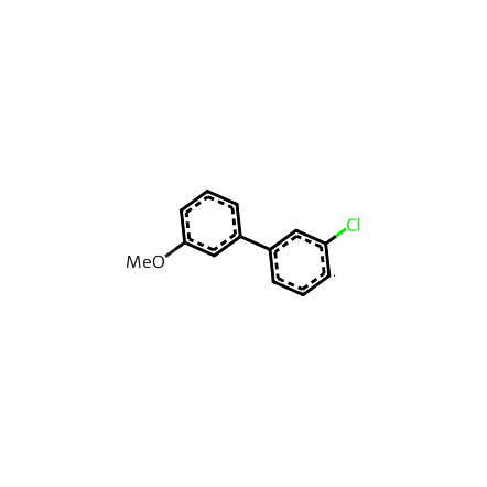 COc1cccc(-c2cc[c]c(Cl)c2)c1